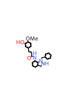 COc1ccc(/C=C/C(=O)Nc2cccc3c2N(Cc2ccccc2)NC3)cc1O